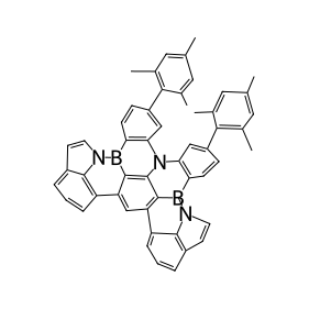 Cc1cc(C)c(-c2ccc3c(c2)N2c4cc(-c5c(C)cc(C)cc5C)ccc4B4c5c(cc6c(c52)B3n2ccc3cccc-6c32)-c2cccc3ccn4c23)c(C)c1